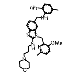 CCCc1ccc(C)cc1NCc1ccc2nc(NCCCN3CCOCC3)n(Cc3nc(C)ccc3OC)c2c1